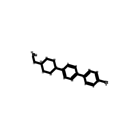 CCc1ccc(-c2ccc(C3CCC(CC(C)CC)CC3)cc2)cc1